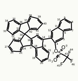 O=S(=O)(Oc1cc2ccccc2cc1-c1cc2c(c3ccccc13)-c1ccccc1C21c2ccccc2-c2ccccc21)C(F)(F)F